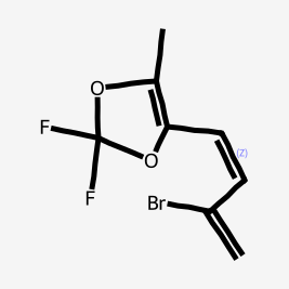 C=C(Br)/C=C\C1=C(C)OC(F)(F)O1